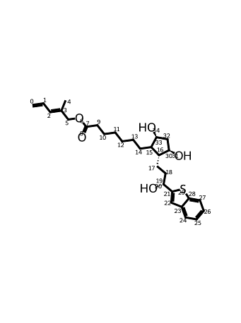 C=C/C=C(\C)COC(=O)CCCCCCC1[C@@H](CC[C@@H](O)c2cc3ccccc3s2)[C@H](O)C[C@@H]1O